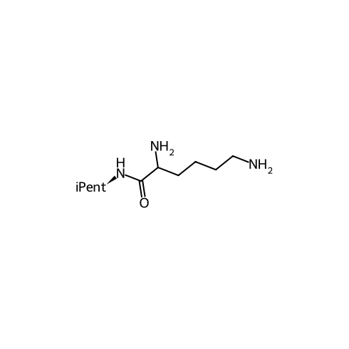 [CH2]CC[C@H]([CH2])NC(=O)C(N)CCCCN